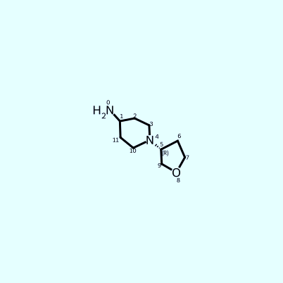 NC1CCN([C@@H]2CCOC2)CC1